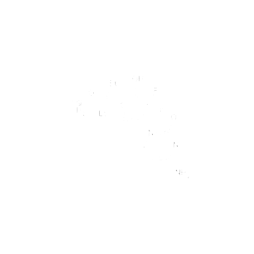 CCC(CC)(O[SiH2]C)C1OC(n2ccc(N)nc2=O)C(F)(F)C1O